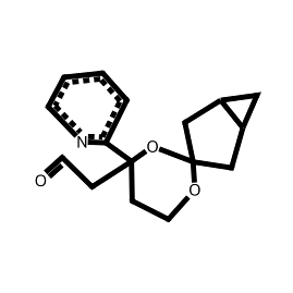 O=CCC1(c2ccccn2)CCOC2(CC3CC3C2)O1